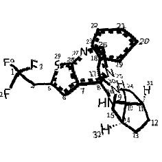 FC(F)(F)Cc1cc2c(N[C@@H]3[C@@H]4CC[C@H]3CN(Cc3ccccc3)C4)ncnc2s1